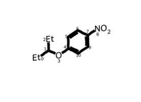 [CH2]CC(CC)Oc1ccc([N+](=O)[O-])cc1